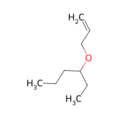 C=CCOC(CC)CCC